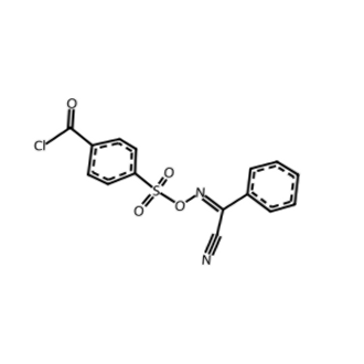 N#C/C(=N\OS(=O)(=O)c1ccc(C(=O)Cl)cc1)c1ccccc1